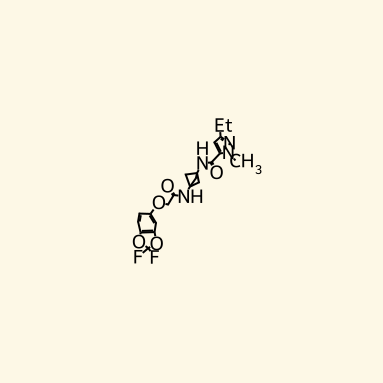 CCc1cc(C(=O)NC23CC(NC(=O)COc4ccc5c(c4)OC(F)(F)O5)(C2)C3)n(C)n1